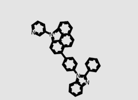 c1ccc(-c2nc3ccccc3n2-c2ccc(-c3ccc4c5c3ccc3cccc(c35)n4-c3cccnc3)cc2)cc1